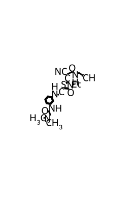 C#CCNC(=O)C(=C=c1sc(=C=CNc2cccc(NC(=O)CN(C)C)c2)c(=O)n1CC)C#N